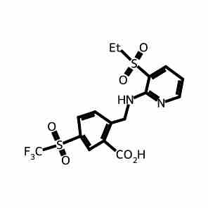 CCS(=O)(=O)c1cccnc1NCc1ccc(S(=O)(=O)C(F)(F)F)cc1C(=O)O